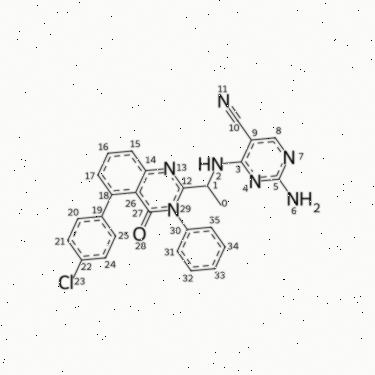 CC(Nc1nc(N)ncc1C#N)c1nc2cccc(-c3ccc(Cl)cc3)c2c(=O)n1-c1ccccc1